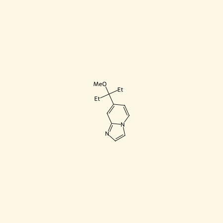 CCC(CC)(OC)c1ccn2ccnc2c1